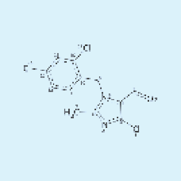 Cc1nc(Cl)c(C=O)n1Cc1ccc(Cl)cc1Cl